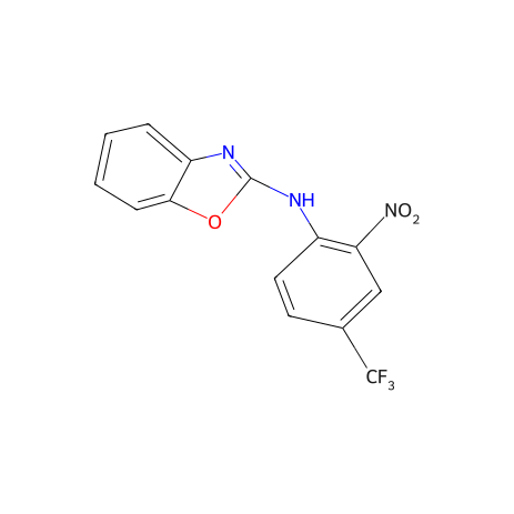 O=[N+]([O-])c1cc(C(F)(F)F)ccc1Nc1nc2ccccc2o1